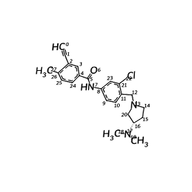 C#Cc1cc(C(=O)Nc2ccc(CN3CC[C@H](N(C)C)C3)c(Cl)c2)ccc1C